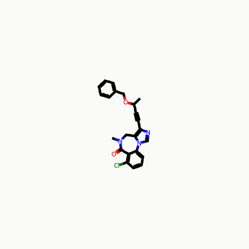 CC(C#Cc1ncn2c1CN(C)C(=O)c1c(Cl)cccc1-2)OCc1ccccc1